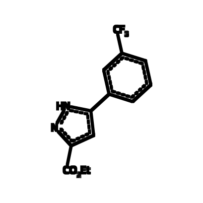 CCOC(=O)c1cc(-c2cccc(C(F)(F)F)c2)[nH]n1